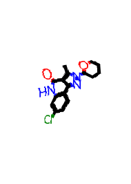 Cc1c2c(=O)[nH]c3cc(Cl)ccc3c2nn1C1CCCCO1